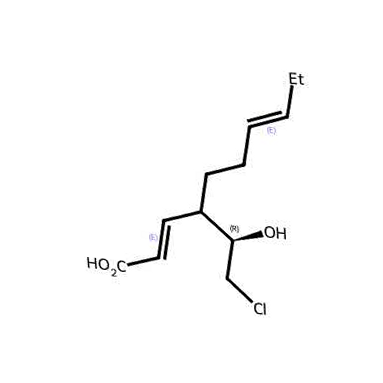 CC/C=C/CCC(/C=C/C(=O)O)[C@@H](O)CCl